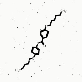 [CH2]CCCCCOc1ccc(C(=O)Oc2ccc(OCCCCC)cc2)cc1